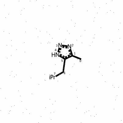 Cc1nn[nH]c1CC(C)C